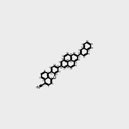 N#Cc1ccc2c3c(cccc13)-c1ccc(-c3cc4ccc5cc(-c6ccc7ccccc7c6)cc6ccc(c3)c4c56)cc1O2